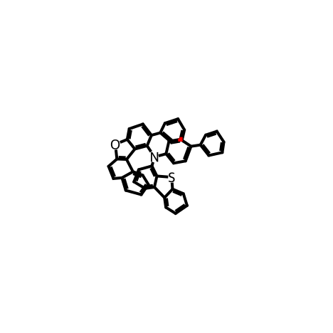 c1ccc(-c2ccc(N(c3cccc4c3sc3ccccc34)c3c(-c4ccccc4)ccc4oc5ccc6ccccc6c5c34)cc2)cc1